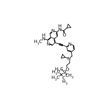 CNc1ncc(C#Cc2cc(CN(CCO[Si](C)(C)C(C)(C)C)C3CC3)ccn2)c2cc(NC(=O)C3CC3)ncc12